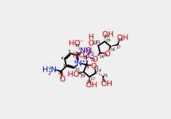 NC(=O)c1ccc(N)[n+](C2(P(=O)(O)OC3O[C@H](CO)[C@@H](O)[C@H]3O)O[C@H](CO)[C@@H](O)[C@H]2O)c1.[OH-]